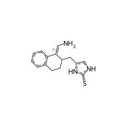 N/C=C1/c2ccccc2CCC1Cc1c[nH]c(=S)[nH]1